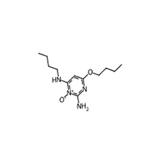 CCCCNc1cc(OCCCC)nc(N)[n+]1[O-]